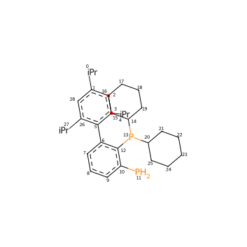 CC(C)c1cc(C(C)C)c(-c2cccc(P)c2P(C2CCCCC2)C2CCCCC2)c(C(C)C)c1